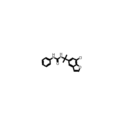 CC(C)(NC(=O)Nc1ccccc1)c1cc(Cl)c2occc2c1